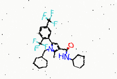 Cc1c(C(=O)NC2CCCCC2)cc(-c2cc(C(F)(F)F)ccc2C(F)(F)F)n1CC1CCCCC1